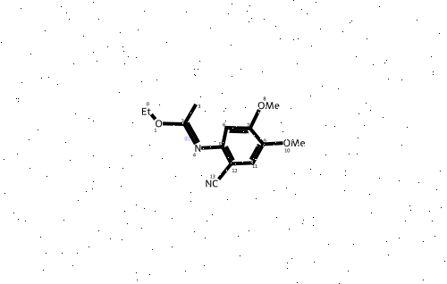 CCO/C(C)=N/c1cc(OC)c(OC)cc1C#N